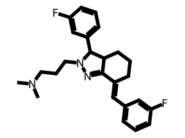 CN(C)CCCN1N=C2C(=Cc3cccc(F)c3)CCCC2C1c1cccc(F)c1